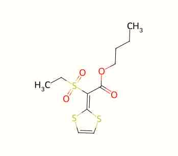 CCCCOC(=O)C(=C1SC=CS1)S(=O)(=O)CC